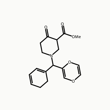 COC(=O)C1CN(C(C2=CC=CCC2)C2=COC=CO2)CCC1=O